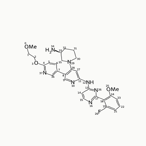 COCCOc1ccc(-c2cnc(Nc3ccnc(-c4c(F)cccc4OC)n3)cc2N2CCC[C@H](N)C2)cn1